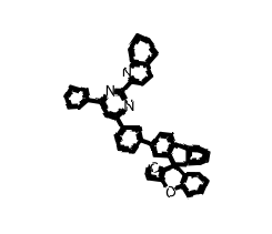 c1ccc(-c2cc(-c3cccc(-c4ccc5c(c4)C4(c6ccccc6Oc6ccccc64)c4ccccc4-5)c3)nc(-c3ccc4ccccc4n3)n2)cc1